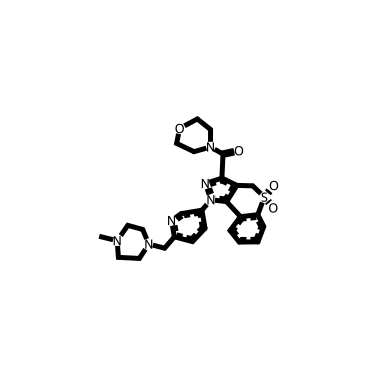 CN1CCN(Cc2ccc(-n3nc(C(=O)N4CCOCC4)c4c3-c3ccccc3S(=O)(=O)C4)cn2)CC1